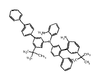 CC(C)(C)c1cc(-c2ccc(-c3ccccc3)cc2)cc(N(c2ccc(-c3ccccc3)c(-c3cc(C(C)(C)C)ccc3N)c2)c2ccccc2N)c1